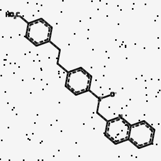 O=C(O)c1ccc(CCc2ccc([S+]([O-])Cc3ccc4ccccc4n3)cc2)cc1